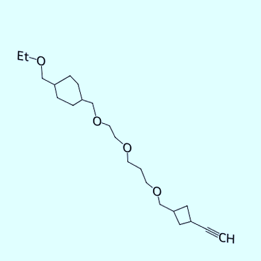 C#CC1CC(COCCCOCCOCC2CCC(COCC)CC2)C1